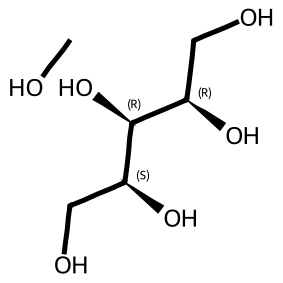 CO.OC[C@@H](O)[C@H](O)[C@@H](O)CO